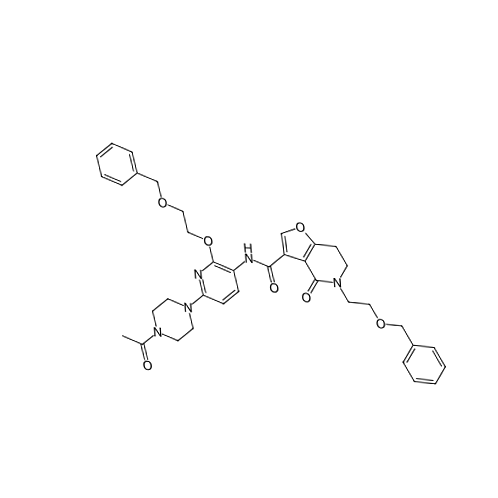 CC(=O)N1CCN(c2ccc(NC(=O)c3coc4c3C(=O)N(CCOCc3ccccc3)CC4)c(OCCOCc3ccccc3)n2)CC1